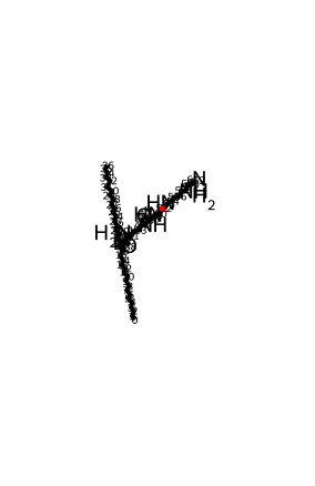 CCCCCCCCCCCCCCCCCCN(CCCCCCCCCCCCCCCCCC)C(=O)C(N)CCCCNC(=O)CNCCCNCCCCNCCCN